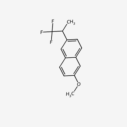 COc1ccc2cc(C(C)C(F)(F)F)ccc2c1